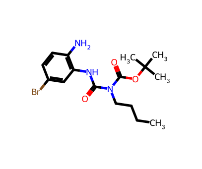 CCCCN(C(=O)Nc1cc(Br)ccc1N)C(=O)OC(C)(C)C